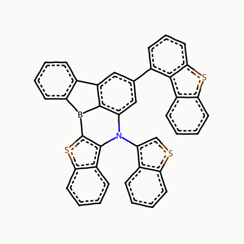 c1ccc2c(c1)B1c3sc4ccccc4c3N(c3csc4ccccc34)c3cc(-c4cccc5sc6ccccc6c45)cc-2c31